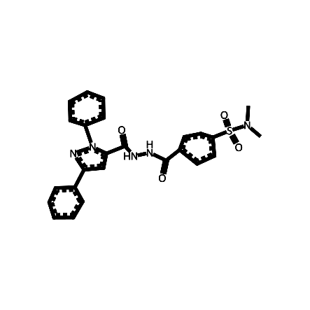 CN(C)S(=O)(=O)c1ccc(C(=O)NNC(=O)c2cc(-c3ccccc3)nn2-c2ccccc2)cc1